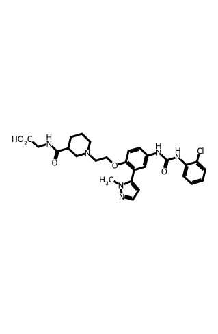 Cn1nccc1-c1cc(NC(=O)Nc2ccccc2Cl)ccc1OCCN1CCCC(C(=O)NCC(=O)O)C1